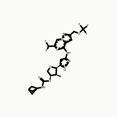 O=C(NC12CC(C1)C2)O[C@H]1CO[C@@H](c2cc(Nc3nc(C(F)F)cn4nc(COC(F)(F)F)cc34)n[nH]2)[C@H]1F